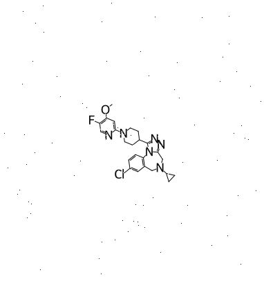 COc1cc(N2CCC(c3nnc4n3-c3ccc(Cl)cc3CN(C3CC3)C4)CC2)ncc1F